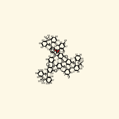 Cc1cc(C)c(N2c3cc4c(cc3B3c5cc6c(cc5Oc5cc(N7c8ccccc8[Si](C)(C)c8ccccc87)cc2c53)N(c2c(C)cc(C)cc2C)c2cc(N3c5ccccc5[Si](C)(C)c5ccccc53)cc3c2B6c2ccccc2O3)B2c3ccccc3Oc3cc(N5c6ccccc6[Si](C)(C)c6ccccc65)cc(c32)O4)c(C)c1